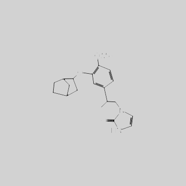 COc1ccc(C(C)Cn2cc[nH]c2=O)cc1OC1CC2CCC1C2